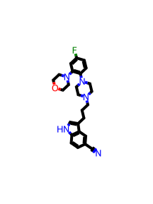 N#Cc1ccc2[nH]cc(CCCN3CCN(c4ccc(F)cc4N4CCOCC4)CC3)c2c1